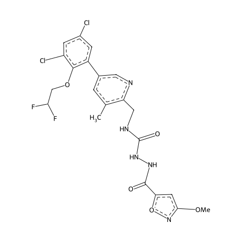 COc1cc(C(=O)NNC(=O)NCc2ncc(-c3cc(Cl)cc(Cl)c3OCC(F)F)cc2C)on1